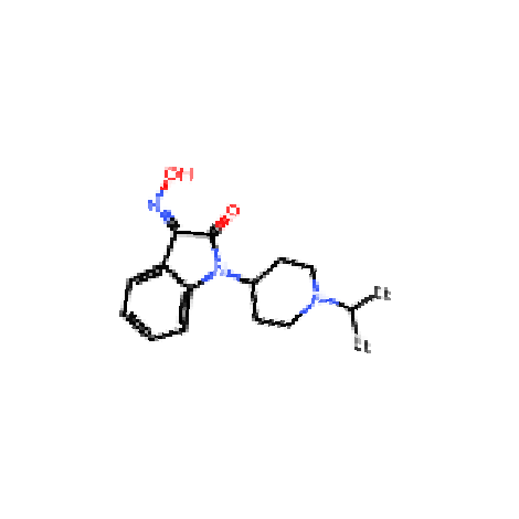 CCC(CC)N1CCC(N2C(=O)/C(=N\O)c3ccccc32)CC1